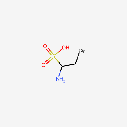 CC(C)CC(N)S(=O)(=O)O